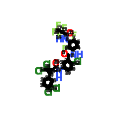 O=C(Nc1ccc(F)c(NC(=O)C(F)(F)C(F)F)c1F)c1cc(NC(=O)[C@H]2[C@H](c3ccc(Cl)c(Cl)c3)C2(Cl)Cl)ccc1Cl